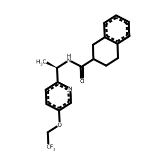 C[C@@H](NC(=O)C1CCc2ccccc2C1)c1ccc(OCC(F)(F)F)cn1